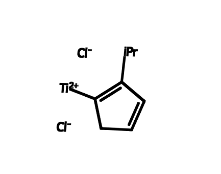 CC(C)C1=[C]([Ti+2])CC=C1.[Cl-].[Cl-]